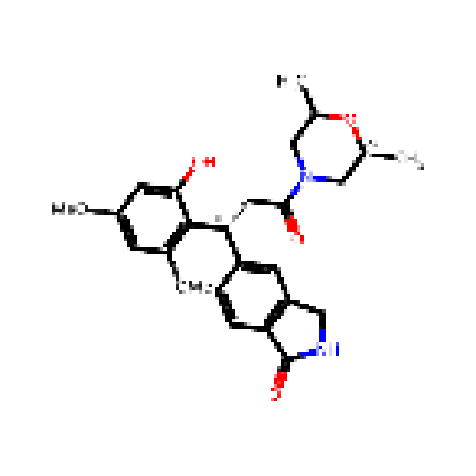 COc1cc(O)c([C@H](CC(=O)N2CC(C)O[C@@H](C)C2)c2ccc3c(c2)CNC3=O)c(OC)c1